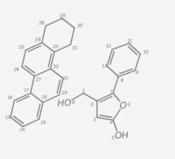 OCc1cc(O)oc1-c1ccccc1.c1ccc2c(c1)ccc1c3c(ccc12)CCCC3